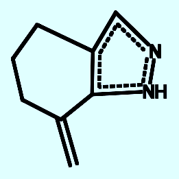 C=C1CCCc2cn[nH]c21